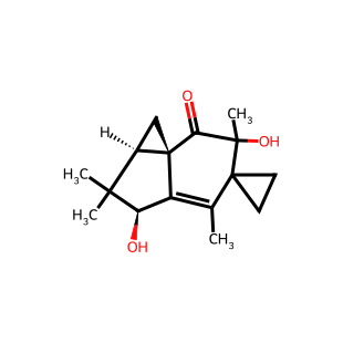 CC1=C2[C@@H](O)C(C)(C)[C@H]3C[C@@]23C(=O)C(C)(O)C12CC2